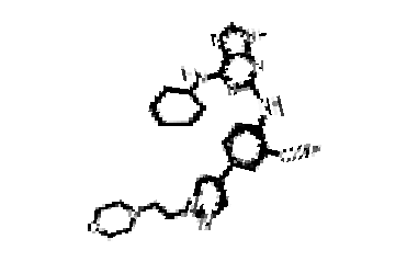 COc1cc(-c2cnn(CCN3CCOCC3)c2)ccc1Nc1nc(NC2CCCCC2)c2nc[nH]c2n1